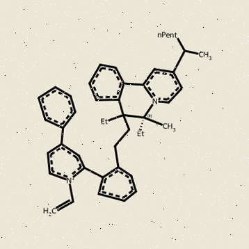 C=C[n+]1ccc(-c2ccccc2)cc1-c1ccccc1CCC1(CC)c2ccccc2-c2cc(C(C)CCCCC)cc[n+]2[C@]1(C)CC